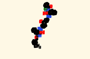 Cc1cccc(CONc2cc3ccccc3c(N=Nc3ccc4c(c3)C(=O)c3cc(N=Nc5c(O)c(NC(=O)c6ccccc6Cl)cc6ccccc56)ccc3-4)c2O)c1